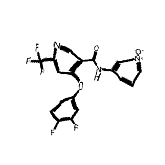 O=C(Nc1ccc[n+]([O-])c1)c1cnc(C(F)(F)F)cc1Oc1ccc(F)c(F)c1